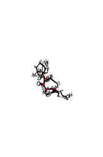 CCc1cc(C(=O)N[C@H]2C[C@H]3CC[C@@H](C2)N3S(=O)(=O)[C@H]2CC[C@@H](NCCO)CC2)no1